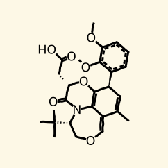 COc1cccc([C@H]2C=C(C)C3=COC[C@H](C(C)(C)C)N4C(=O)[C@H](CC(=O)O)OC2=C34)c1OC